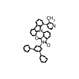 Cc1cnccc1-c1cccc2c3ccccc3n(-c3cccc4c3C(=O)N(c3cc(-c5ccccc5)cc(-c5ccccc5)c3)C4=O)c12